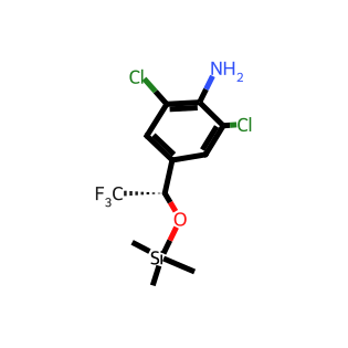 C[Si](C)(C)O[C@@H](c1cc(Cl)c(N)c(Cl)c1)C(F)(F)F